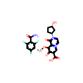 COc1c(=O)c(C(=O)O)cn2ccn([C@@H]3CC[C@H](O)C3)c(=O)c12.NC(=O)c1c(F)cc(F)cc1F